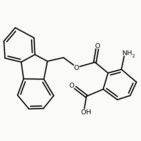 Nc1cccc(C(=O)O)c1C(=O)OCC1c2ccccc2-c2ccccc21